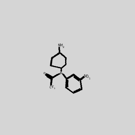 NC1CCC(N(C(=O)C(F)(F)F)c2cccc([N+](=O)[O-])c2)CC1